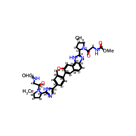 COC(=O)NCC(=O)N1C[C@@H](C)CC1c1nc2ccc3cc4c(cc3c2[nH]1)OCc1cc(-c2cnc(C3CC[C@H](C)N3C(=O)CNC=O)[nH]2)ccc1-4